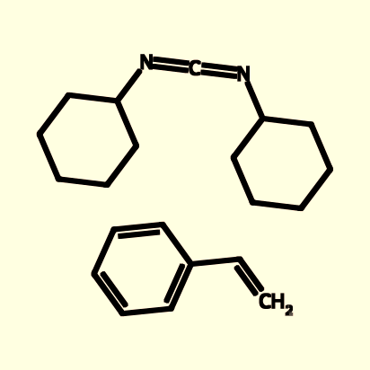 C(=NC1CCCCC1)=NC1CCCCC1.C=Cc1ccccc1